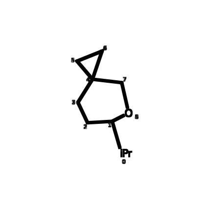 CC(C)C1CCC2(CC2)CO1